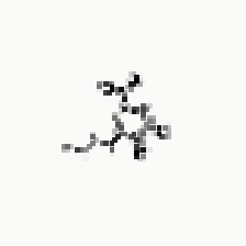 CCCCc1cc([N+](=O)[O-])cc(Cl)[n+]1[O-]